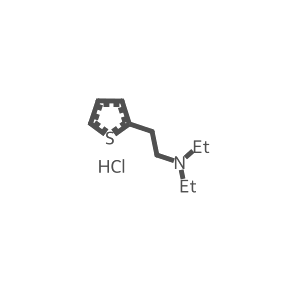 CCN(CC)CCc1cccs1.Cl